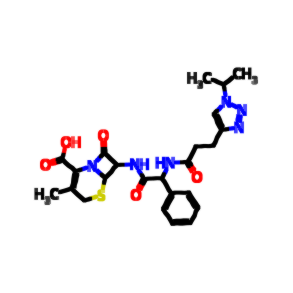 CC1=C(C(=O)O)N2C(=O)C(NC(=O)C(NC(=O)CCc3cn(C(C)C)nn3)c3ccccc3)C2SC1